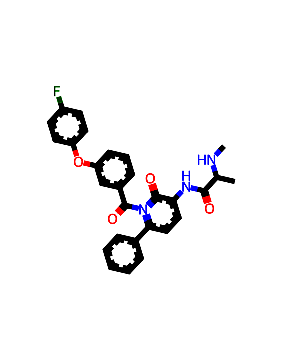 CNC(C)C(=O)Nc1ccc(-c2ccccc2)n(C(=O)c2cccc(Oc3ccc(F)cc3)c2)c1=O